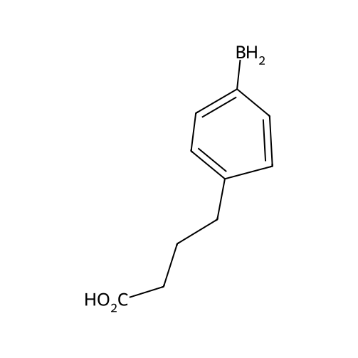 Bc1ccc(CCCC(=O)O)cc1